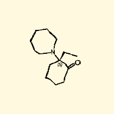 CC[C@]1(N2CCCCC2)CCCCC1=O